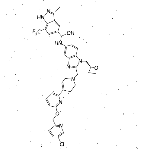 Cc1n[nH]c2c(C(F)(F)F)cc(C(O)Nc3ccc4c(c3)nc(CN3CC=C(c5cccc(OCc6ccc(Cl)cn6)n5)CC3)n4C[C@@H]3CCO3)cc12